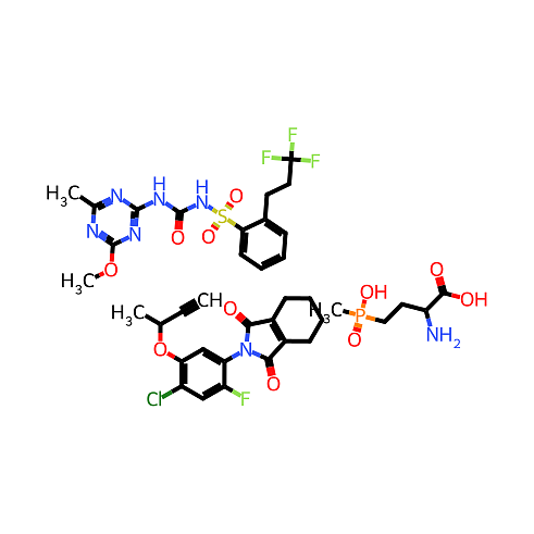 C#CC(C)Oc1cc(N2C(=O)C3=C(CCCC3)C2=O)c(F)cc1Cl.COc1nc(C)nc(NC(=O)NS(=O)(=O)c2ccccc2CCC(F)(F)F)n1.CP(=O)(O)CCC(N)C(=O)O